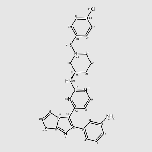 Nc1cccc(-c2nc3sccn3c2-c2ccnc(N[C@@H]3CCCN(Sc4ccc(Cl)cc4)C3)n2)c1